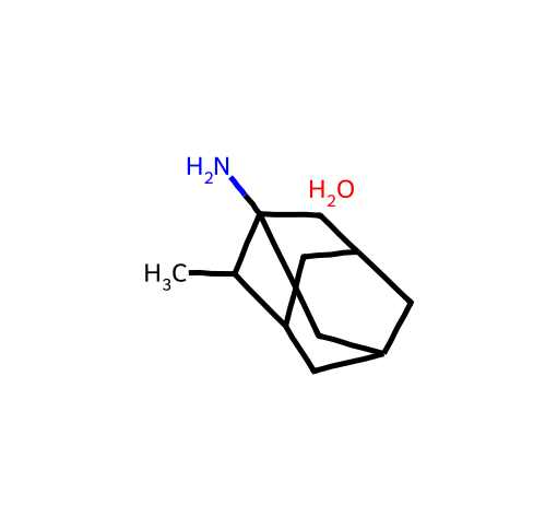 CC1C2CC3CC(C2)CC1(N)C3.O